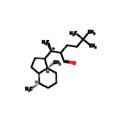 C[C@@H](C(C=O)CCC(C)(C)C)C1CCC2[C@@H](C)CCC[C@]12C